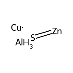 [AlH3].[Cu].[S]=[Zn]